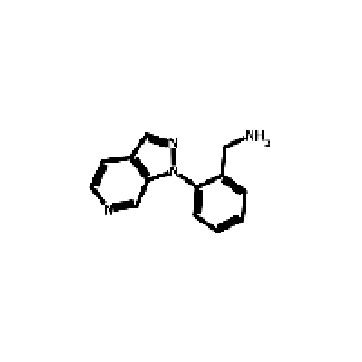 NCc1ccccc1-n1ncc2ccncc21